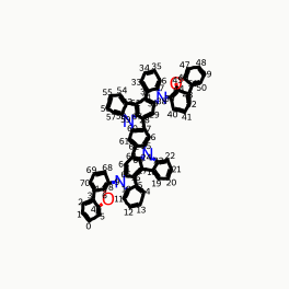 c1ccc2c(c1)oc1c(-n3c4ccccc4c4c5c6ccccc6n6c7cc8c9cc%10c(c%11ccccc%11n%10-c%10cccc%11c%10oc%10ccccc%10%11)c%10c%11ccccc%11n(c8cc7c(cc43)c56)c9%10)cccc12